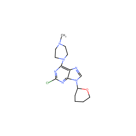 CN1CCN(c2nc(Cl)nc3c2ncn3C2CCCCO2)CC1